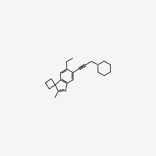 CCc1cc2c(cc1C#CCN1CCCCC1)N=C(C)C21CCC1